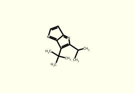 CC(C)C1=C(C(C)(C)C)C2=NC=CC2=N1